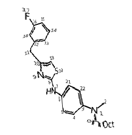 CCCCCCCCN(C)c1ccc(Nc2nc(Cc3cccc(F)c3)cs2)cc1